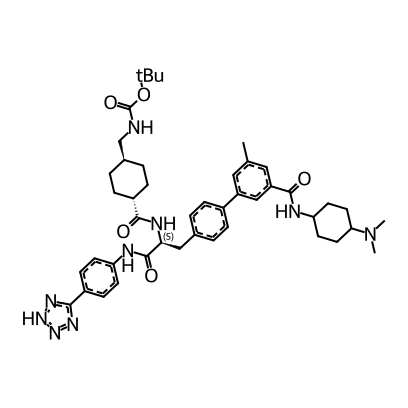 Cc1cc(C(=O)NC2CCC(N(C)C)CC2)cc(-c2ccc(C[C@H](NC(=O)[C@H]3CC[C@H](CNC(=O)OC(C)(C)C)CC3)C(=O)Nc3ccc(-c4nn[nH]n4)cc3)cc2)c1